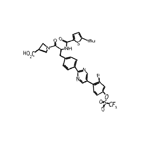 CC(C)(C)c1ccc(C(=O)NC(Cc2ccc(-c3ncc(-c4ccc(OS(=O)(=O)C(F)(F)F)cc4F)cn3)cc2)C(=O)N2CC(C(=O)O)C2)s1